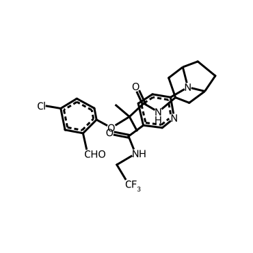 CC(C)(Oc1ccc(Cl)cc1C=O)C(=O)NC1CC2CCC(C1)N2c1ccc(C(=O)NCC(F)(F)F)cn1